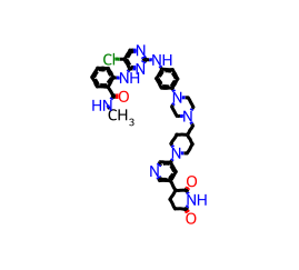 CNC(=O)c1ccccc1Nc1nc(Nc2ccc(N3CCN(CC4CCN(c5cncc(C6CCC(=O)NC6=O)c5)CC4)CC3)cc2)ncc1Cl